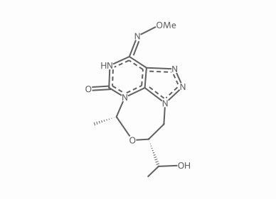 CO/N=c1/[nH]c(=O)n2c3c1nnn3C[C@H](C(C)O)O[C@@H]2C